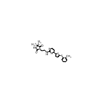 Cc1ccccc1Sc1ccc(-c2ccnc(NCCN3C(=O)NC(C)(C)C3=O)n2)s1